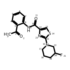 CC(=O)c1ccccc1NC(=O)c1csc(N2CCCC(F)C2)n1